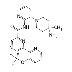 CC1(N)CCN(c2cccnc2NC(=O)c2cncc(-c3ncccc3OC(F)(F)F)n2)CC1